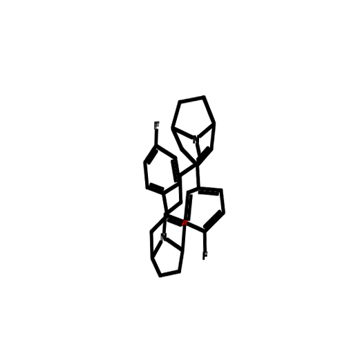 Fc1ccc(C2=CC3CCC(C2)N3CCCCN2C3C=C(c4ccc(F)cc4)CC2CC3)cc1